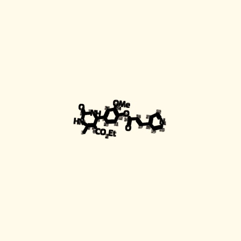 CCOC(=O)C1=C(C)NC(=O)NC1c1ccc(OC(=O)/C=C/c2ccncc2)c(OC)c1